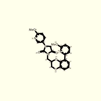 COc1ccc(N2CC(=O)N(CC3COc4cccc(-c5cccc(OC)n5)c4O3)C2=O)cn1